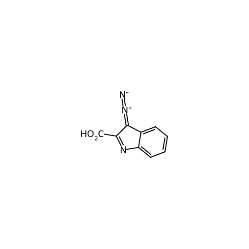 [N-]=[N+]=C1C(C(=O)O)=Nc2ccccc21